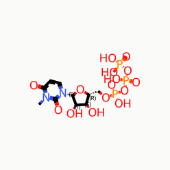 Cn1c(=O)ccn([C@@H]2O[C@H](COP(=O)(O)OP(=O)(O)OP(=O)(O)O)[C@@H](O)[C@H]2O)c1=O